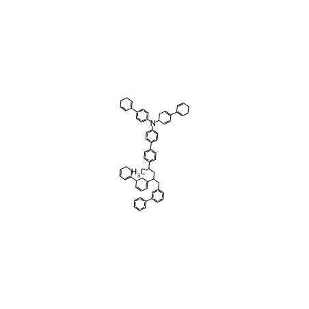 C[C@H](CC(Cc1cccc(-c2ccccc2)c1)C1=CC=CC(C2=CC=CCC2)C1)c1ccc(-c2ccc(N(c3ccc(C4=CCCC=C4)cc3)C3C=CC(C4=CCCC=C4)=CC3)cc2)cc1